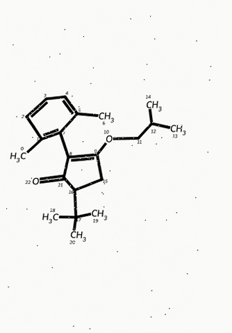 Cc1cccc(C)c1C1=C(OCC(C)C)CC(C(C)(C)C)C1=O